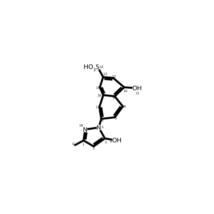 Cc1cc(O)n(-c2ccc3c(O)cc(S(=O)(=O)O)cc3c2)n1